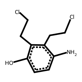 Nc1ccc(O)c(CCCl)c1CCCl